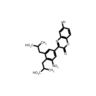 CCCc1ccc2oc(=O)c(-c3cc(CC(C)C(=O)O)c(CC(C)C(=O)O)c([N+](=O)[O-])c3)nc2c1